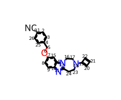 N#Cc1ccc(COc2ccc3nc4n(c3c2)CCN(C2=CC=C2)CC4)cc1